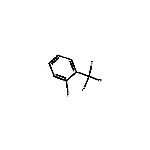 Fc1cc[c]cc1C(F)(F)F